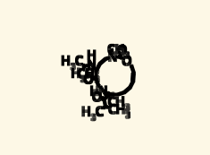 CC(C)N[C@@]1(C)CCN(C)C(=O)OCC=CCCC[C@@](C)(C(=O)C(C)C)NCC1=O